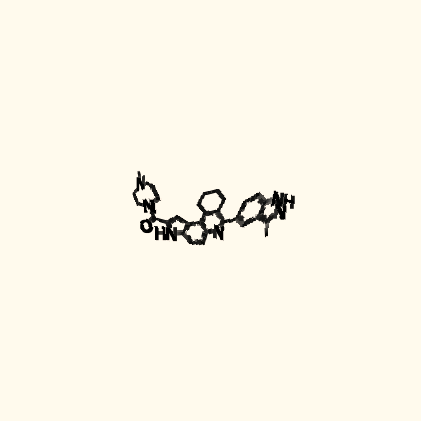 Cc1n[nH]c2ccc(-c3nc4ccc5[nH]c(C(=O)N6CCN(C)CC6)cc5c4c4c3CCCC4)cc12